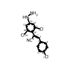 N#C/C(=C\c1ccc(Cl)cc1)c1c(Cl)cc(NN)cc1Cl